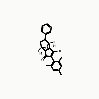 Cc1cc(C)c(C2=C(O)[C@H]3[C@@H](C2=O)[C@@H]2CC(c4ccccc4)[C@H]3O2)c(C)c1